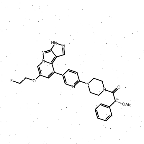 CO[C@@H](C(=O)N1CCN(c2ccc(-c3cc(OCCF)cn4nc5[nH]ncc5c34)cn2)CC1)c1ccccc1